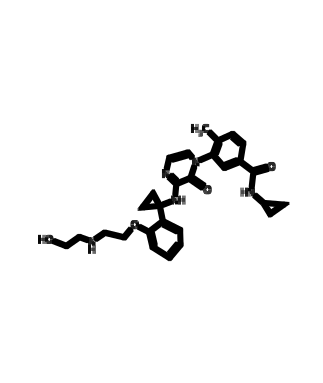 Cc1ccc(C(=O)NC2CC2)cc1-n1ccnc(NC2(c3ccccc3OCCNCCO)CC2)c1=O